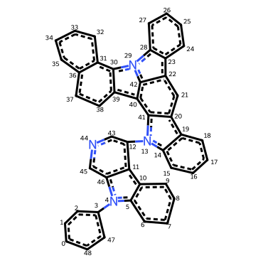 c1ccc(-n2c3ccccc3c3c(-n4c5ccccc5c5cc6c7ccccc7n7c8c9ccccc9ccc8c(c54)c67)cncc32)cc1